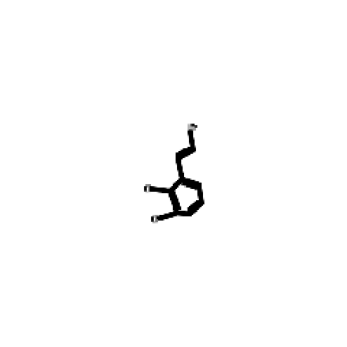 CC(C)/C=C/c1cccc(Cl)c1Cl